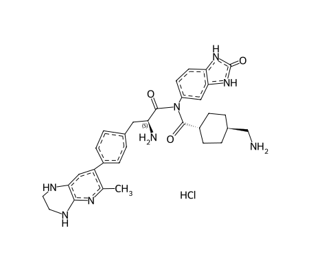 Cc1nc2c(cc1-c1ccc(C[C@H](N)C(=O)N(c3ccc4[nH]c(=O)[nH]c4c3)C(=O)[C@H]3CC[C@H](CN)CC3)cc1)NCCN2.Cl